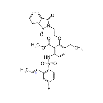 C/C=C/c1cc(F)ccc1S(=O)(=O)Nc1ccc(CC)c(OCCN2C(=O)c3ccccc3C2=O)c1C(=O)OC